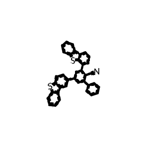 N#Cc1c(-c2ccccc2)cc(-c2ccc3sc4ccccc4c3c2)cc1-c1cccc2c1sc1ccccc12